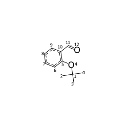 CC(C)(C)Oc1ccccc1[C]=O